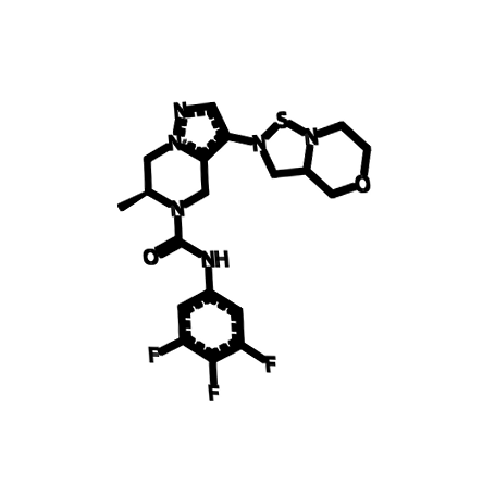 C[C@H]1Cn2ncc(N3CC4COCCN4S3)c2CN1C(=O)Nc1cc(F)c(F)c(F)c1